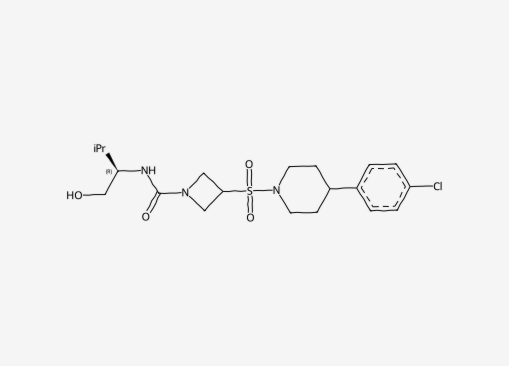 CC(C)[C@H](CO)NC(=O)N1CC(S(=O)(=O)N2CCC(c3ccc(Cl)cc3)CC2)C1